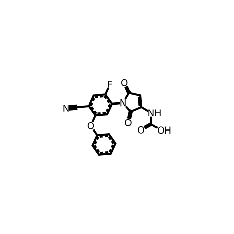 N#Cc1cc(F)c(N2C(=O)C=C(NC(=O)O)C2=O)cc1Oc1ccccc1